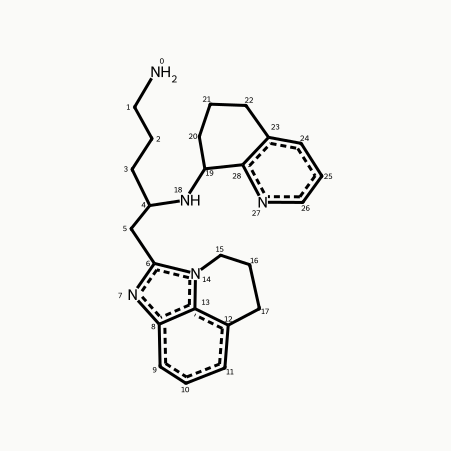 NCCCC(Cc1nc2cccc3c2n1CCC3)NC1CCCc2cccnc21